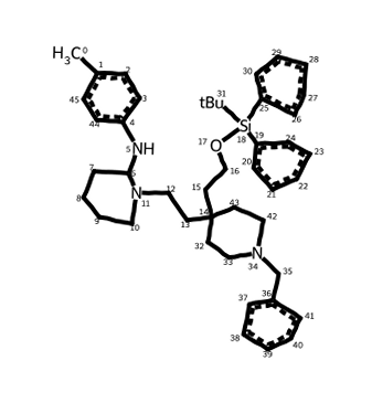 Cc1ccc(NC2CCCCN2CCC2(CCO[Si](c3ccccc3)(c3ccccc3)C(C)(C)C)CCN(Cc3ccccc3)CC2)cc1